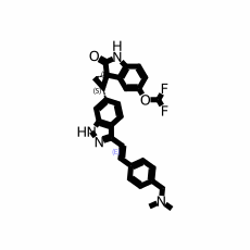 CN(C)Cc1ccc(/C=C/c2n[nH]c3cc([C@@H]4C[C@@]45C(=O)Nc4ccc(OC(F)F)cc45)ccc23)cc1